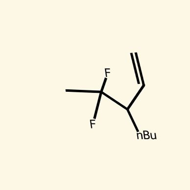 C=CC(CCCC)C(C)(F)F